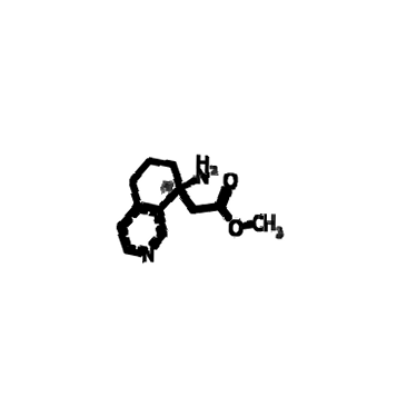 COC(=O)C[C@@]1(N)CCCc2ccncc21